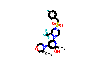 C[C@@H]1COCCN1C1=CC(C)(O)NC(N2CCN(S(=O)(=O)Cc3ccc(F)cc3)CC2C(F)(F)F)=C1